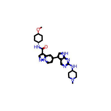 CO[C@H]1CC[C@H](NC(=O)c2cnn3ccc(-c4c[nH]c5nc(NC6CCN(C)CC6)ncc45)cc23)CC1